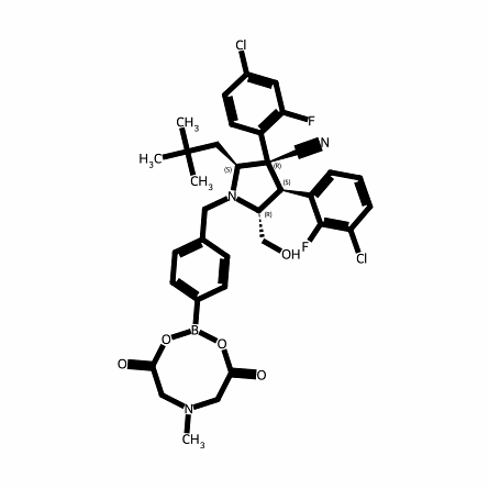 CN1CC(=O)OB(c2ccc(CN3[C@@H](CC(C)(C)C)[C@](C#N)(c4ccc(Cl)cc4F)[C@@H](c4cccc(Cl)c4F)[C@@H]3CO)cc2)OC(=O)C1